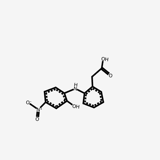 O=C(O)Cc1ccccc1Nc1ccc([N+](=O)[O-])cc1O